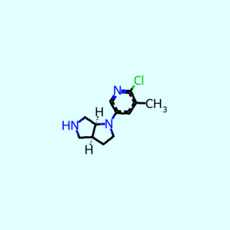 Cc1cc(N2CC[C@H]3CNC[C@H]32)cnc1Cl